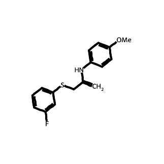 C=C(CSc1cccc(F)c1)Nc1ccc(OC)cc1